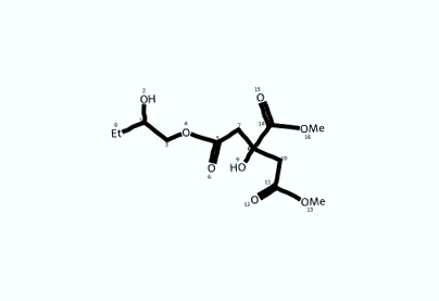 CCC(O)COC(=O)CC(O)(CC(=O)OC)C(=O)OC